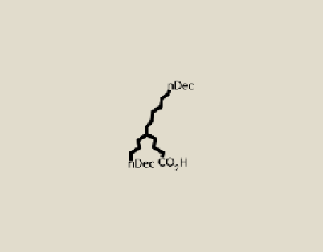 CCCCCCCCCCCCCCCCC(CCCCCCCCCCCCC)CCCC(=O)O